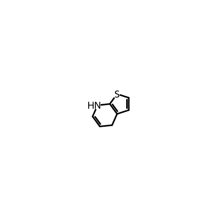 C1=CNc2sccc2C1